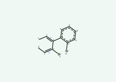 C/C=C(\C(Br)=C/C)c1ccccc1Br